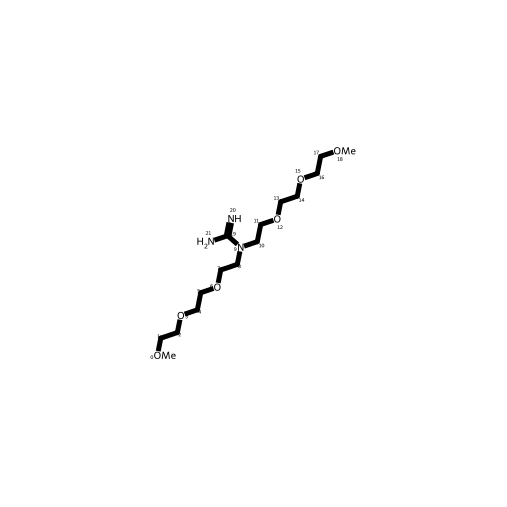 COCCOCCOCCN(CCOCCOCCOC)C(=N)N